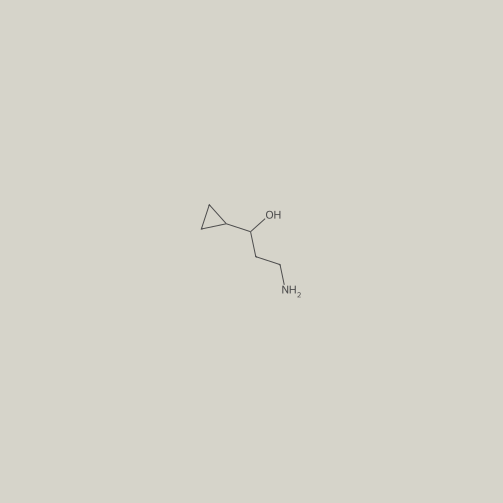 NCCC(O)C1CC1